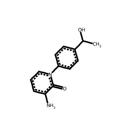 CC(O)c1ccc(-n2cccc(N)c2=O)cc1